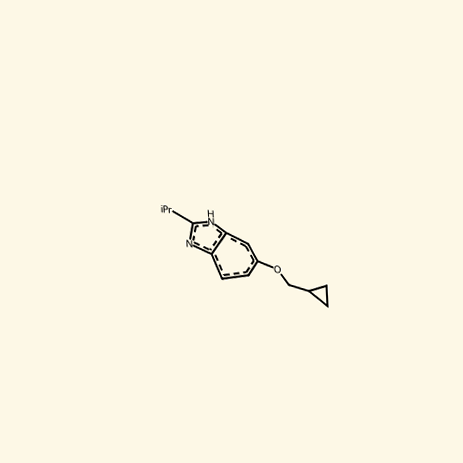 CC(C)c1nc2ccc(OCC3CC3)cc2[nH]1